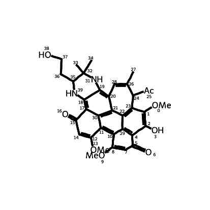 COc1c(O)c2c(=O)cc(OC)c3c4c(OC)cc(=O)c5c6c(c7c(c(c1C(C(C)=O)C(C)=C7)c23)c54)NC(C)(C)C(CCO)N6